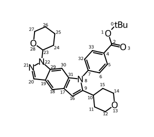 CC(C)(C)OC(=O)c1ccc(-n2c(C3CCOCC3)cc3cc4cnn(C5CCCCO5)c4cc32)cc1